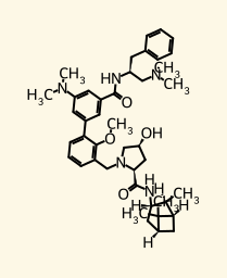 COc1c(CN2C[C@@H](O)C[C@H]2C(=O)N[C@H]2C[C@H]3C[C@@H]([C@@H]2C)C3(C)C)cccc1-c1cc(C(=O)N[C@@H](Cc2ccccc2)CN(C)C)cc(N(C)C)c1